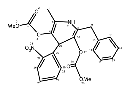 COC(=O)OC1=C(C)NC(Cc2ccccc2)=C(OC(=O)OC)C1c1ccccc1[N+](=O)[O-]